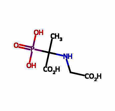 CC(NCC(=O)O)(C(=O)O)P(=O)(O)O